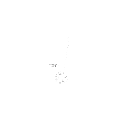 CCCCCCCCCCCCCCCCCCN(C(=O)C(CC([NH-])=O)S(=O)(=O)[O-])C(CC(=O)[O-])C(=O)[O-].[Na+].[Na+].[Na+].[Na+]